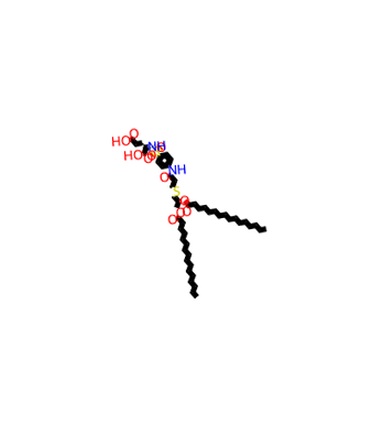 CCCCCCCCCCCCCCCC(=O)OCC(CSCCC(=O)Nc1ccc(S(=O)(=O)N[C@@H](CCC(=O)O)C(=O)O)cc1)OC(=O)CCCCCCCCCCCCCCC